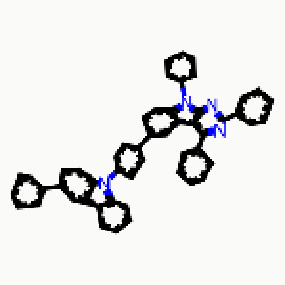 c1ccc(-c2ccc3c(c2)c2ccccc2n3-c2ccc(-c3ccc4c(c3)c3c(-c5ccccc5)nc(-c5ccccc5)nc3n4-c3ccccc3)cc2)cc1